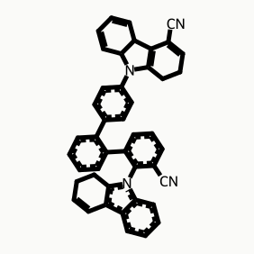 N#CC1=CCCC2=C1C1C=CC=CC1N2c1ccc(-c2ccccc2-c2cccc(C#N)c2-n2c3c(c4ccccc42)C=CCC3)cc1